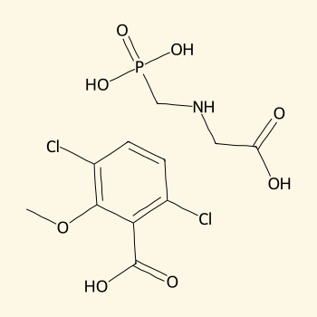 COc1c(Cl)ccc(Cl)c1C(=O)O.O=C(O)CNCP(=O)(O)O